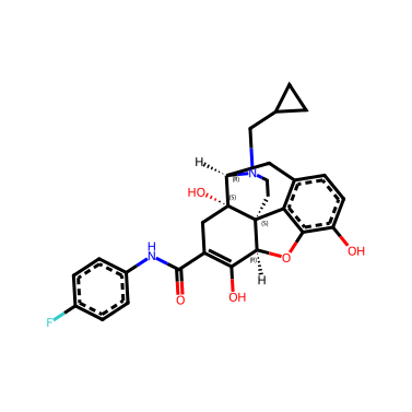 O=C(Nc1ccc(F)cc1)C1=C(O)[C@@H]2Oc3c(O)ccc4c3[C@@]23CCN(CC2CC2)[C@H](C4)[C@]3(O)C1